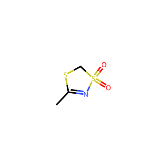 CC1=NS(=O)(=O)CS1